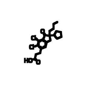 CCCCC1(C2CCCC2)Cc2cc(CCC(=O)O)c(Cl)c(Cl)c2C1=O